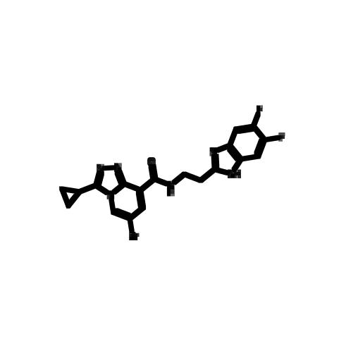 O=C(NCCc1nc2cc(F)c(F)cc2[nH]1)c1cc(Br)cn2c(C3CC3)nnc12